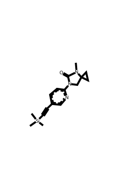 CN1C(=O)N(c2ccc(C#C[Si](C)(C)C)cn2)CC12CC2